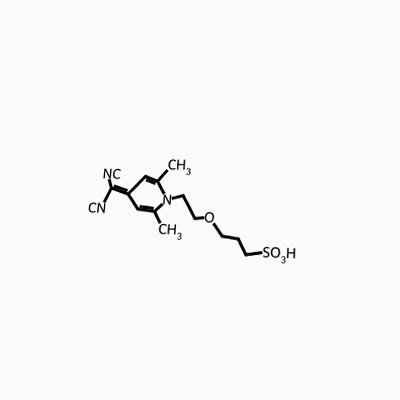 [C-]#[N+]C([N+]#[C-])=C1C=C(C)N(CCOCCCS(=O)(=O)O)C(C)=C1